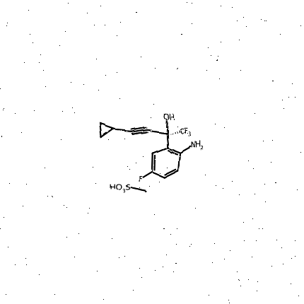 CS(=O)(=O)O.Nc1ccc(F)cc1[C@](O)(C#CC1CC1)C(F)(F)F